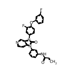 C=CC(=O)Nc1cccc(-n2c(=O)n(-c3ccc(Oc4cccc(F)c4)c(F)c3)c3cnccc32)c1